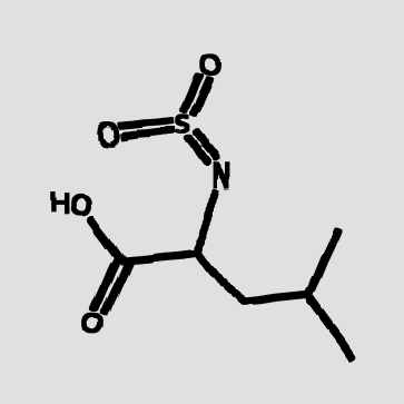 CC(C)CC(N=S(=O)=O)C(=O)O